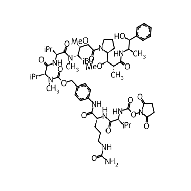 CC[C@H](C)[C@@H]([C@@H](CC(=O)N1CCC[C@H]1[C@H](OC)[C@@H](C)C(=O)N[C@H](C)[C@@H](O)c1ccccc1)OC)N(C)C(=O)[C@@H](NC(=O)[C@H](C(C)C)N(C)C(=O)OCc1ccc(NC(=O)[C@H](CCCNC(N)=O)NC(=O)[C@@H](NC(=O)ON2C(=O)CCC2=O)C(C)C)cc1)C(C)C